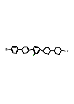 CCCC1CCC(C2CCC(c3ccc(C4=CCC(c5ccc(CC)cc5)CC4)c(F)c3)CC2)CC1